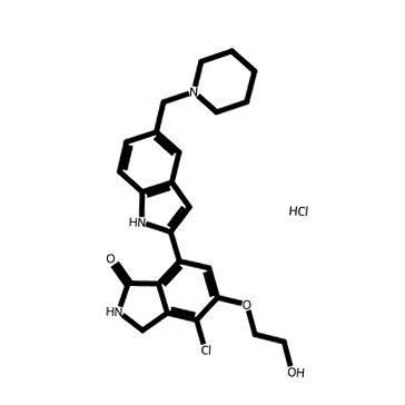 Cl.O=C1NCc2c(Cl)c(OCCO)cc(-c3cc4cc(CN5CCCCC5)ccc4[nH]3)c21